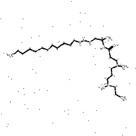 CCCCCCCCCCCCSSSCC(C)OC(=O)CCN(C)CCCN(C)CCC